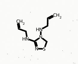 C=CCNC1=NSCN1NCC=C